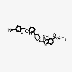 COC(=O)c1ccc2nc(CN3CCC(c4cccc(OCc5ccc(C#N)cc5F)n4)CC3)n(C)c2c1